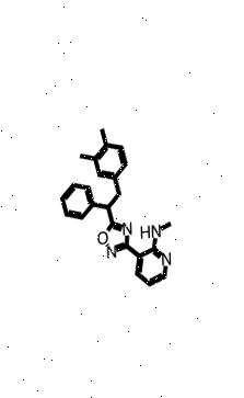 CNc1ncccc1-c1noc(C(Cc2ccc(C)c(C)c2)c2ccccc2)n1